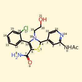 CC(=O)Nc1cc(C2SC(C(N)=O)=C(c3ccccc3Cl)N2CCO)ccn1